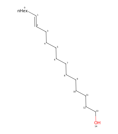 CCCCCCC=CCCCCCCCCCCCO